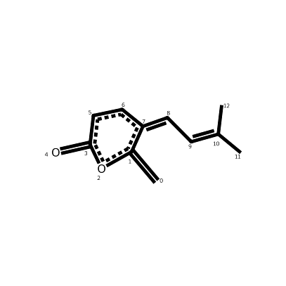 C=c1oc(=O)cc/c1=C/C=C(C)C